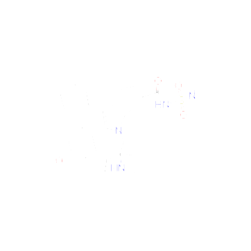 CNC1(C)Cn2c(c(C3CCCCC3)c3ccc(C(=O)NS(=O)(=O)N(C)C)cc32)-c2ccc(OC)cc2C1C